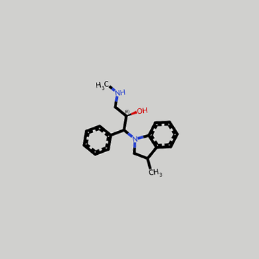 CNC[C@@H](O)C(c1ccccc1)N1CC(C)c2ccccc21